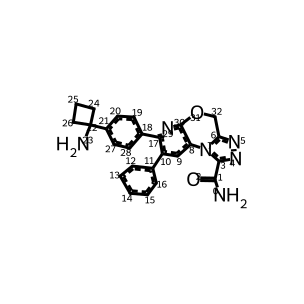 NC(=O)c1nnc2n1-c1cc(-c3ccccc3)c(-c3ccc(C4(N)CCC4)cc3)nc1OC2